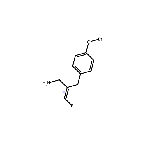 CCOc1ccc(C/C(=C\F)CN)cc1